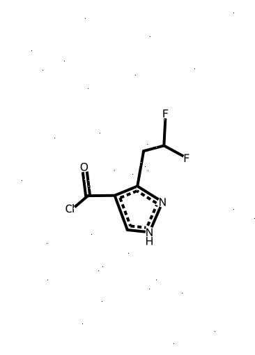 O=C(Cl)c1c[nH]nc1CC(F)F